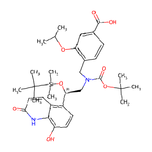 CC(C)Oc1cc(C(=O)O)ccc1CN(C[C@H](O[Si](C)(C)C(C)(C)C)c1ccc(O)c2[nH]c(=O)ccc12)C(=O)OC(C)(C)C